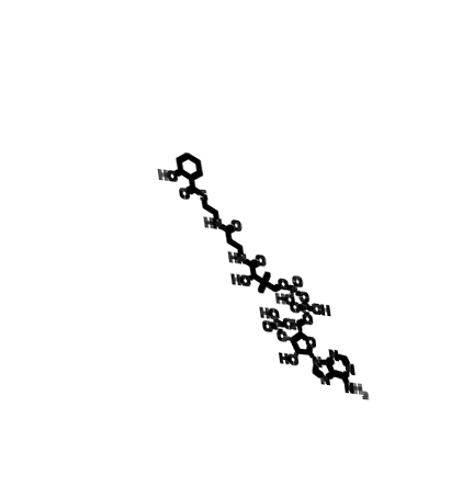 CC(C)(COP(=O)(O)OP(=O)(O)OC[C@H]1O[C@@H](n2cnc3c(N)ncnc32)[C@H](O)[C@@H]1OP(=O)(O)O)[C@@H](O)C(=O)NCCC(=O)NCCSC(=O)C1CCCCC1O